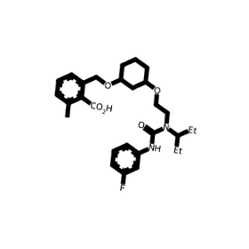 CCC(CC)N(CCOC1CCCC(OCc2cccc(C)c2C(=O)O)C1)C(=O)Nc1cccc(F)c1